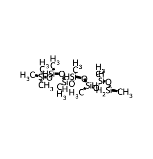 C[SiH2]O[SiH](C)O[SiH](C)O[SiH](C)O[SiH](C)O[SiH](C)O[Si](C)(C)C